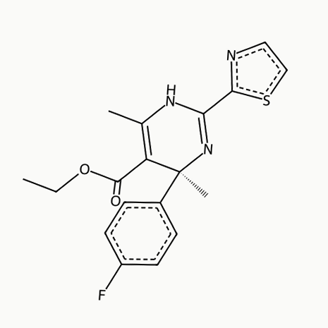 CCOC(=O)C1=C(C)NC(c2nccs2)=N[C@@]1(C)c1ccc(F)cc1